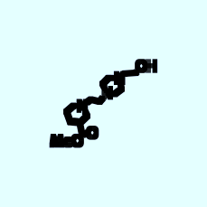 COC(=O)C1=CCCN(CCN2CCN(CCO)CC2)C1